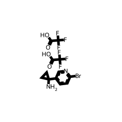 NC1(c2ccc(Br)nc2)CC1.O=C(O)C(F)(F)F.O=C(O)C(F)(F)F